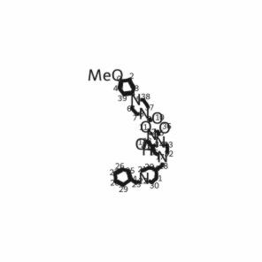 COc1ccc(N2CCN(C(=O)ON3C(=O)[C@@H]4CN(CC5CCN(Cc6ccccc6)CC5)CCN4C3=O)CC2)cc1